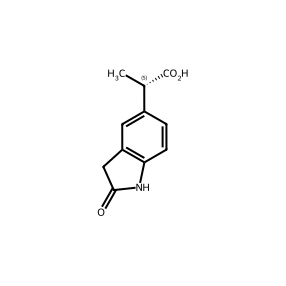 C[C@H](C(=O)O)c1ccc2c(c1)CC(=O)N2